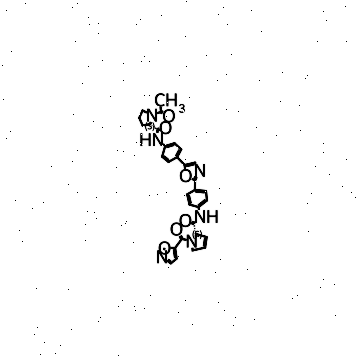 CC(=O)N1CCC[C@H]1C(=O)Nc1ccc(-c2cnc(-c3ccc(NC(=O)[C@@H]4C=CCN4C(=O)c4ccno4)cc3)o2)cc1